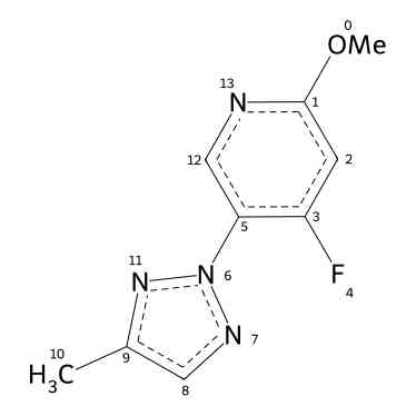 COc1cc(F)c(-n2ncc(C)n2)cn1